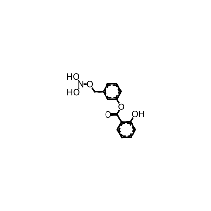 O=C(Oc1cccc(CON(O)O)c1)c1ccccc1O